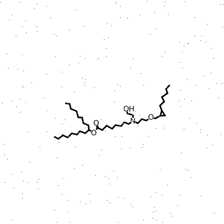 CCCCCCCCC(CCCCCCCC)OC(=O)CCCCCCCN(CCO)CCCOCC1CC1CCCCCC